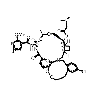 COc1nn(C)cc1C(=O)NS1(=O)=NC(=O)c2ccc3c(c2)N(Cc2ccc(Cl)cc2CCCCO3)C[C@@H]2CC[C@H]2[C@@H](OC(=O)CN(C)C)/C=C/C[C@H](C)C1